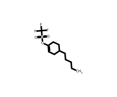 CCCCCC1CC=C(OS(=O)(=O)C(F)(F)F)CC1